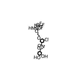 CN(CC(=O)c1ccc(O)c(O)c1)C(=O)c1cc(Cl)cc(OCCCON(OC(=O)C(F)(F)F)C(=N)N)c1